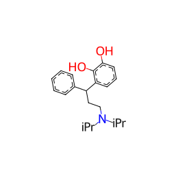 CC(C)N(CCC(c1ccccc1)c1cccc(O)c1O)C(C)C